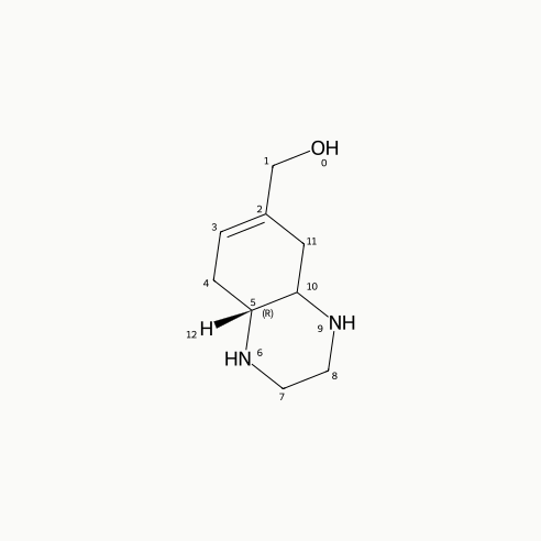 OCC1=CC[C@H]2NCCNC2C1